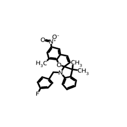 Cc1cc([N+](=O)[O-])cc2c1OC1(C=C2)N(Cc2ccc(F)cc2)c2ccccc2C1(C)C